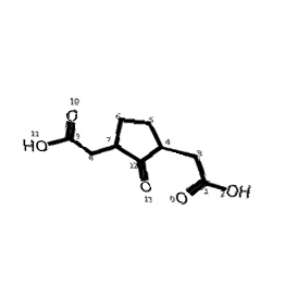 O=C(O)CC1CCC(CC(=O)O)C1=O